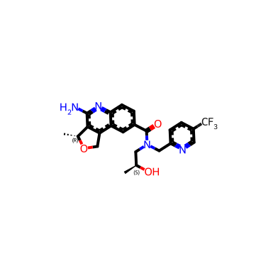 C[C@H](O)CN(Cc1ccc(C(F)(F)F)cn1)C(=O)c1ccc2nc(N)c3c(c2c1)CO[C@@H]3C